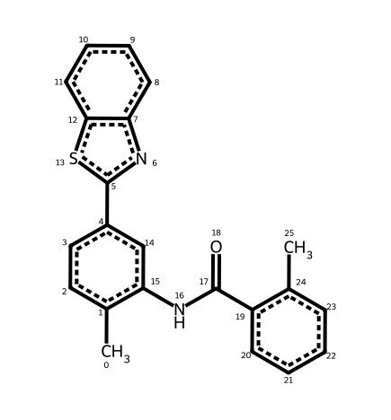 Cc1ccc(-c2nc3ccccc3s2)cc1NC(=O)c1ccccc1C